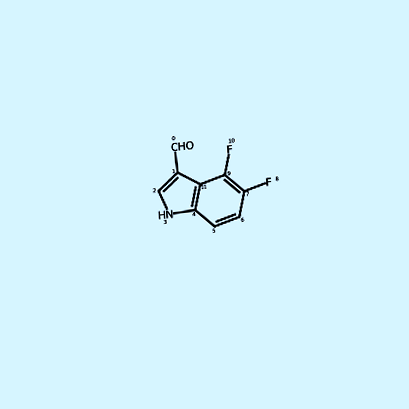 O=Cc1c[nH]c2ccc(F)c(F)c12